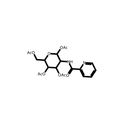 CC(=O)OCC1OC(OC(C)=O)C(NC(=O)c2ccccn2)C(OC(C)=O)C1OC(C)=O